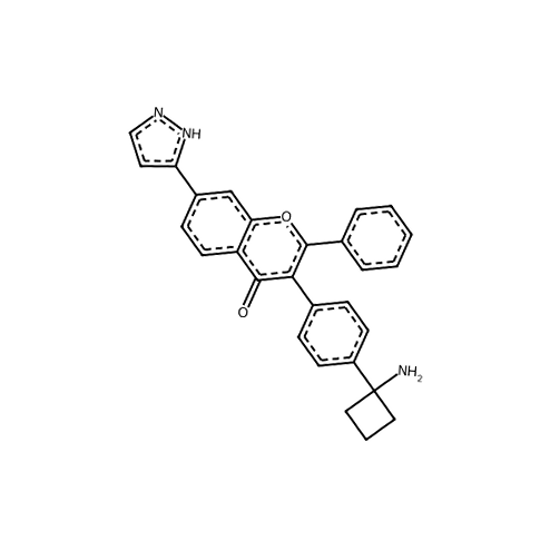 NC1(c2ccc(-c3c(-c4ccccc4)oc4cc(-c5ccn[nH]5)ccc4c3=O)cc2)CCC1